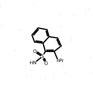 CCCc1ccc2ccccc2c1S([NH])(=O)=O